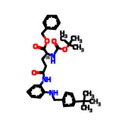 CC(C)(C)OC(=O)N[C@@H](CCC(=O)Nc1ccccc1NCc1ccc(C(C)(C)C)cc1)C(=O)OCc1ccccc1